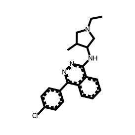 CCN1CC(C)C(Nc2nnc(-c3ccc(Cl)cc3)c3ccccc23)C1